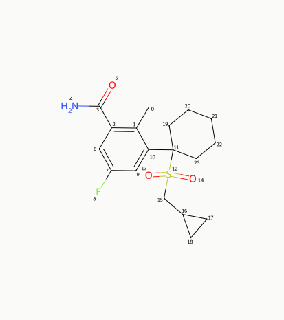 Cc1c(C(N)=O)cc(F)cc1C1(S(=O)(=O)CC2CC2)CCCCC1